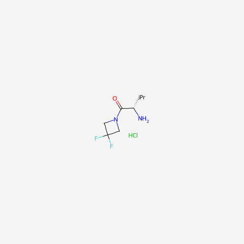 CC(C)[C@H](N)C(=O)N1CC(F)(F)C1.Cl